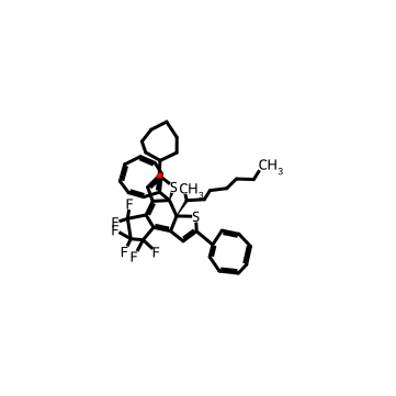 CCCCCCC(C)[C@@]12SC(C3=C/C=C\C=C/C=C\3)=CC1=C1C(=C3C=C(C4CCCCCC4)S[C@]32C2=C/C=C\C=C/C=C\2)C(F)(F)C(F)(F)C1(F)F